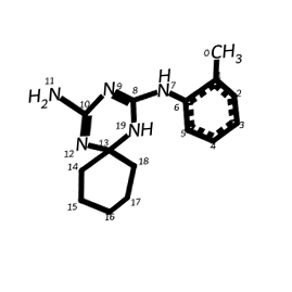 Cc1ccccc1NC1=NC(N)=NC2(CCCCC2)N1